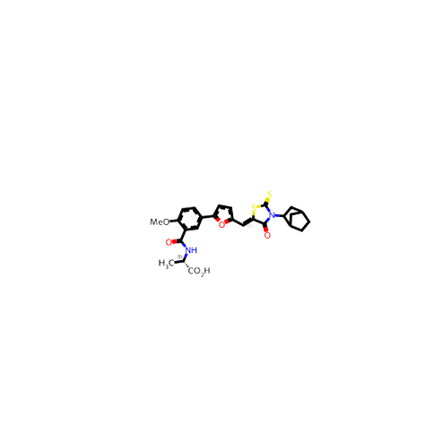 COc1ccc(-c2ccc(/C=C3\SC(=S)N(C4CC5CCC4C5)C3=O)o2)cc1C(=O)N[C@@H](C)C(=O)O